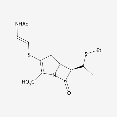 CCSC(C)[C@H]1C(=O)N2C(C(=O)O)=C(S/C=C/NC(C)=O)CC12